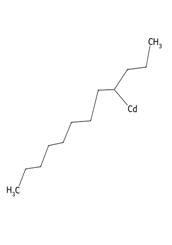 CCCCCCCC[CH]([Cd])CCC